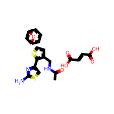 CC(=O)NCc1ccsc1-c1csc(N)n1.O=C(O)C=CC(=O)O.c1cc2cc(c1)O2